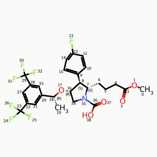 COC(=O)CCC[C@H]1[C@H](c2ccc(F)cc2)[C@@H](O[C@H](C)c2cc(C(F)(F)F)cc(C(F)(F)F)c2)CN1C(=O)O